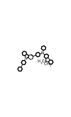 CC1(C)c2ccccc2-c2ccc(N(c3ccccc3)c3ccc(C4=Cc5c(n(-c6ccc(-c7ccccc7)cc6)c6ccccc56)CC4)cc3)cc21